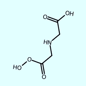 O=C(O)CNCC(=O)OO